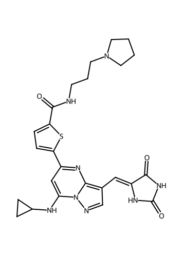 O=C1NC(=O)/C(=C/c2cnn3c(NC4CC4)cc(-c4ccc(C(=O)NCCCN5CCCC5)s4)nc23)N1